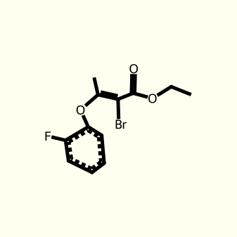 CCOC(=O)C(Br)=C(C)Oc1ccccc1F